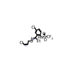 CC/C(=N\OC/C=C\Cl)c1cc(Cl)ccc1NS(=O)(=O)C(F)(F)F